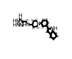 c1cc(-c2cc3ccccc3[nH]2)cc(N2CCC(NCC3=NNNN3)CC2)c1